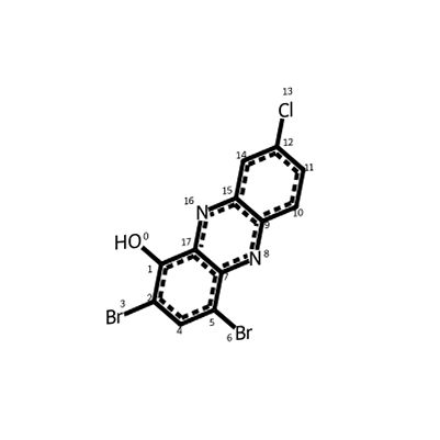 Oc1c(Br)cc(Br)c2nc3ccc(Cl)cc3nc12